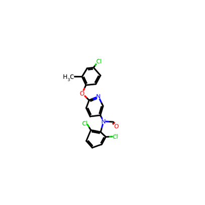 Cc1cc(Cl)ccc1Oc1ccc(N(C=O)c2c(Cl)cccc2Cl)cn1